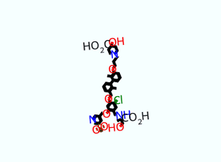 Cc1c(COc2cc(OCc3cncc(S(C)(=O)=O)c3)c(CN[C@@](C)(CO)C(=O)O)cc2Cl)cccc1-c1cccc(OCCCN2CCC(O)(C(=O)O)CC2)c1C